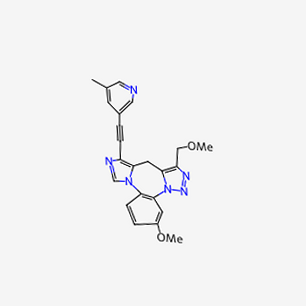 COCc1nnn2c1Cc1c(C#Cc3cncc(C)c3)ncn1-c1ccc(OC)cc1-2